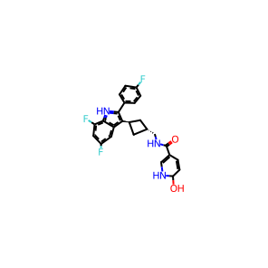 O=C(NC[C@H]1C[C@H](c2c(-c3ccc(F)cc3)[nH]c3c(F)cc(F)cc32)C1)C1=CNC(O)C=C1